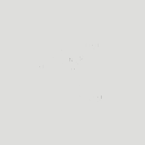 O=C(O)CCc1cc2cc(Cl)ccc2n1S(=O)(=O)CC=Cc1cccc(C(F)(F)F)c1